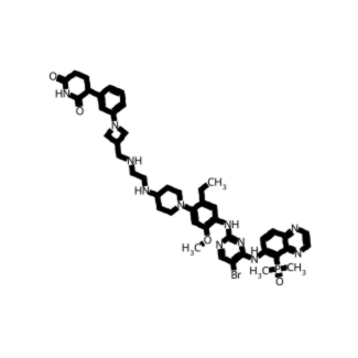 CCc1cc(Nc2ncc(Br)c(Nc3ccc4nccnc4c3P(C)(C)=O)n2)c(OC)cc1N1CCC(NCCNCC2CN(c3cccc(C4CCC(=O)NC4=O)c3)C2)CC1